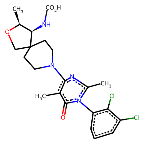 Cc1c(N2CCC3(CC2)CO[C@@H](C)[C@H]3NC(=O)O)nc(C)n(-c2cccc(Cl)c2Cl)c1=O